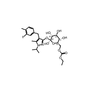 CCOC(=O)OC[C@H]1O[C@@](O)(Oc2nn(C(C)C)c(C)c2Cc2ccc(C)c(F)c2)[C@H](O)[C@@H](O)[C@@H]1O